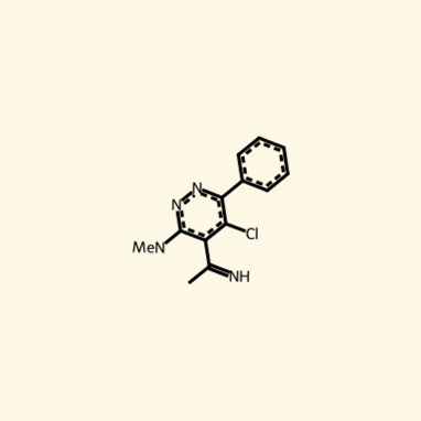 CNc1nnc(-c2ccccc2)c(Cl)c1C(C)=N